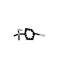 CCCCCC[Si](C)(C)c1ccc(C(=O)O)cc1